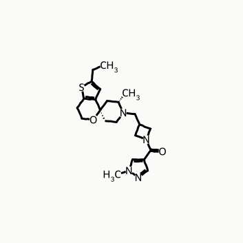 CCc1cc2c(s1)CCO[C@@]21CCN(CC2CN(C(=O)c3cnn(C)c3)C2)[C@@H](C)C1